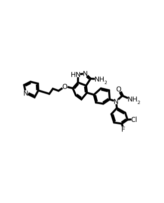 NC(=O)N(c1ccc(-c2ccc(OCCCc3cccnc3)c3[nH]nc(N)c23)cc1)c1ccc(F)c(Cl)c1